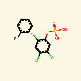 CCc1ccccc1.O=P(O)(O)Oc1cc(Cl)c(Cl)cc1Cl